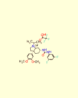 COc1ccc([C@@]23CC[C@@H](NC(=O)Nc4cc(F)cc(F)c4)C[C@@H]2N(C(C)C)CC3)cc1OC.O=C(O)C(F)(F)F